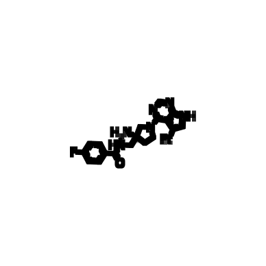 CCc1c[nH]c2ncnc(N3CC[C@](N)(CNC(=O)c4ccc(F)cc4)C3)c12